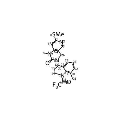 CSc1ncc2c(n1)N(C)C(=O)N([C@H]1CCN(C(=O)C(F)(F)F)c3c(C)cccc31)C2